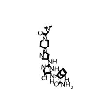 CN(C)CC(=O)N1CCC(n2cc(Nc3ncc(Cl)c(N[C@H]4[C@@H](C(N)=O)[C@@H]5C=C[C@H]4C5)n3)cn2)CC1